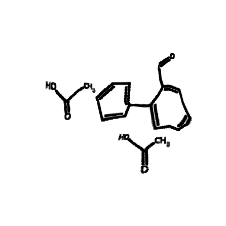 CC(=O)O.CC(=O)O.O=Ic1ccccc1-c1ccccc1